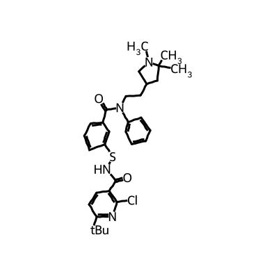 CN1CC(CCN(C(=O)c2cccc(SNC(=O)c3ccc(C(C)(C)C)nc3Cl)c2)c2ccccc2)CC1(C)C